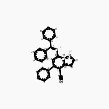 N#Cc1c(-c2ccccc2)cc(N=C(c2ccccc2)c2ccccc2)n2nccc12